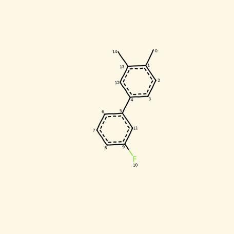 Cc1ccc(-c2cccc(F)c2)cc1C